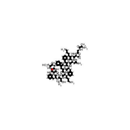 C[C@H](N)C(=O)NCC(=O)N[C@@H](CS)C(=O)NC(CCCCN)C(=O)N[C@@H](CC(N)=O)C(=O)NC(Cc1ccccc1)C(=O)N[C@@H](Cc1ccccc1)C(=O)NC(Cc1c[nH]c2ccccc12)C(=O)N[C@@H](CCCCN)C(=O)N[C@H](C(=O)N[C@@H](Cc1ccccc1)C(=O)N[C@H](C(=O)N[C@@H](CO)C(=O)NC(CS)C(=O)O)[C@@H](C)O)[C@@H](C)O